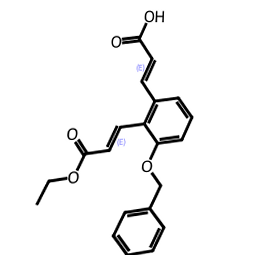 CCOC(=O)/C=C/c1c(/C=C/C(=O)O)cccc1OCc1ccccc1